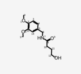 COc1ccc(CNC(=O)CCCO)cc1OC